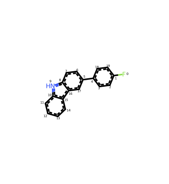 Fc1ccc(-c2ccc3[nH]c4ccccc4c3c2)cc1